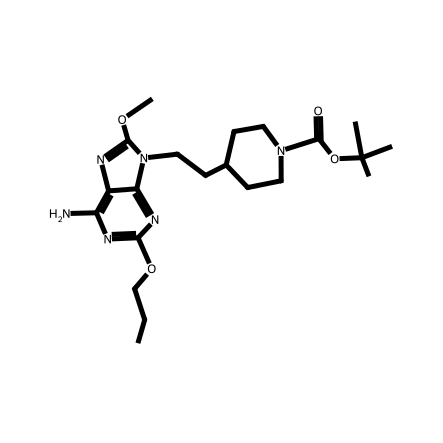 CCCOc1nc(N)c2nc(OC)n(CCC3CCN(C(=O)OC(C)(C)C)CC3)c2n1